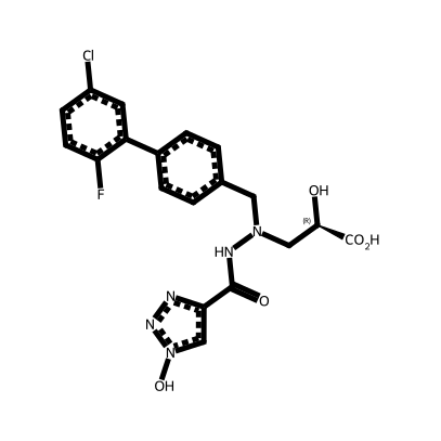 O=C(NN(Cc1ccc(-c2cc(Cl)ccc2F)cc1)C[C@@H](O)C(=O)O)c1cn(O)nn1